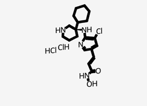 Cl.Cl.O=C(/C=C/c1cnc(N[C@@]2(C3CCCCC3)CCCNC2)c(Cl)c1)NO